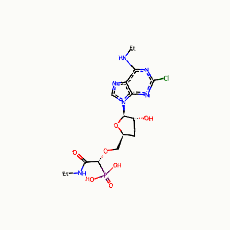 CCNC(=O)[C@H](OC[C@@H]1C[C@@H](O)[C@H](n2cnc3c(NCC)nc(Cl)nc32)O1)P(=O)(O)O